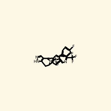 O=S(=O)(c1ccc(C(F)(F)F)nc1)N1C2Cc3[nH]ncc3C1c1cc(-c3ccc(F)cc3)ccc12